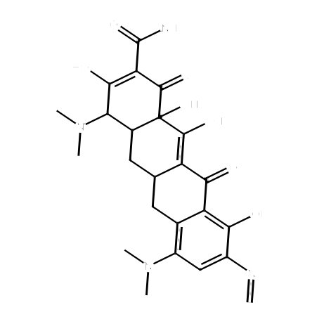 C=Nc1cc(N(C)C)c2c(c1O)C(=O)C1=C(O)C3(O)C(=O)C(C(N)=O)=C(O)C(N(C)C)C3CC1C2